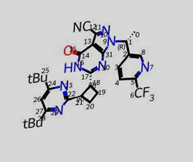 C[C@H](c1ccc(C(F)(F)F)nc1)n1nc(C#N)c2c(=O)[nH]c([C@@H]3CC[C@H]3c3nc(C(C)(C)C)cc(C(C)(C)C)n3)nc21